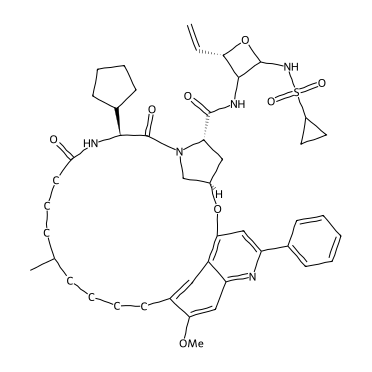 C=C[C@@H]1OC(NS(=O)(=O)C2CC2)C1NC(=O)[C@@H]1C[C@@H]2CN1C(=O)[C@H](C1CCCC1)NC(=O)CCCC(C)CCCCc1cc3c(cc(-c4ccccc4)nc3cc1OC)O2